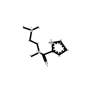 CN(C)CCN(C)C(=O)c1c[c]c[nH]1